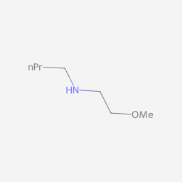 [CH2]CCCNCCOC